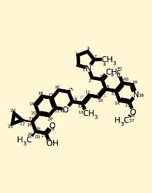 C=C(CN1CCCC1C)/C(=C\C=C(/C)C1CCc2ccc([C@H](C3CC3)[C@H](C)C(=O)O)cc2O1)c1cc(OC)ncc1F